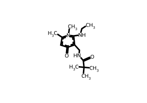 CCNc1c(CNC(=O)C(C)(C)C)c(=O)cc(C)n1C